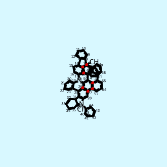 CC1(c2ccccc2)c2ccccc2-c2ccc(N(c3ccccc3-c3cccc4c3C3C=CC=CC3(C)N4c3ccccc3)c3ccccc3-c3cccc4cccc(-c5ccccc5)c34)cc21